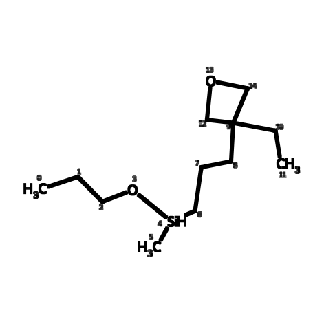 CCCO[SiH](C)CCCC1(CC)COC1